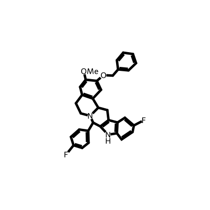 COc1cc2c(cc1OCc1ccccc1)C1Cc3c([nH]c4ccc(F)cc34)C(c3ccc(F)cc3)N1CC2